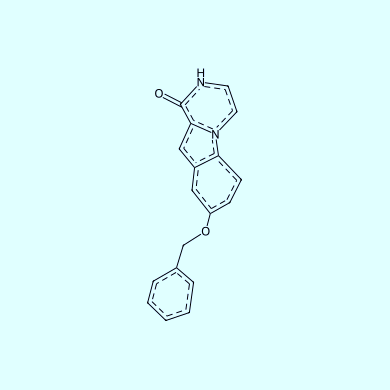 O=c1[nH]ccn2c1cc1cc(OCc3ccccc3)ccc12